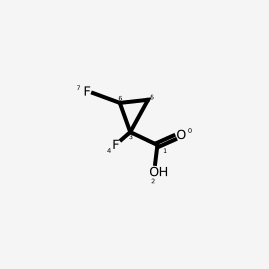 O=C(O)C1(F)CC1F